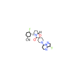 N#Cc1ccc(F)c([C@@H]2CC[C@H]3OC4(CCN(c5ccnc6c(F)cnn56)CC4)C(=O)N32)c1